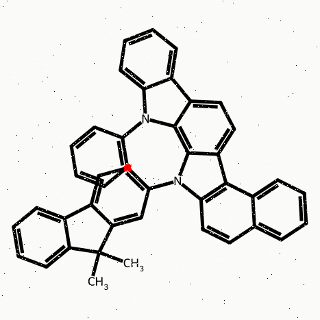 CC1(C)c2ccccc2-c2ccc(-n3c4ccc5ccccc5c4c4ccc5c6ccccc6n(-c6ccccc6)c5c43)cc21